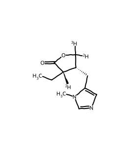 [2H]C1([2H])OC(=O)[C@@]([2H])(CC)[C@H]1Cc1cncn1C